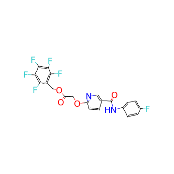 O=C(COc1ccc(C(=O)Nc2ccc(F)cc2)cn1)OCc1c(F)c(F)c(F)c(F)c1F